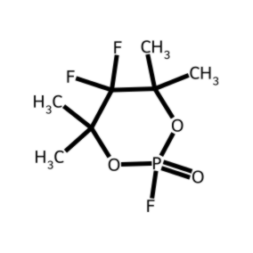 CC1(C)OP(=O)(F)OC(C)(C)C1(F)F